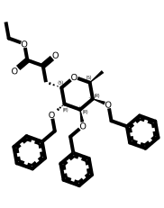 CCOC(=O)C(=O)C[C@@H]1O[C@@H](C)[C@@H](OCc2ccccc2)[C@@H](OCc2ccccc2)[C@@H]1OCc1ccccc1